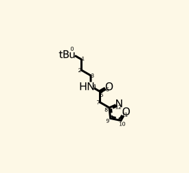 CC(C)(C)CCCNC(=O)Cc1ccon1